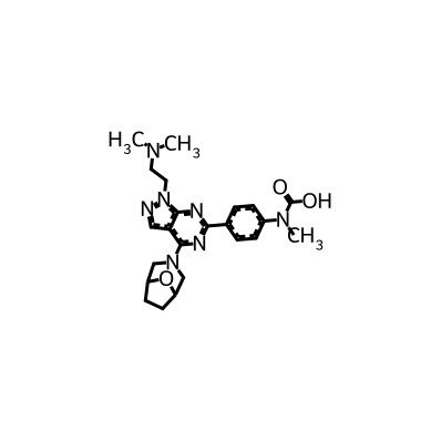 CN(C)CCn1ncc2c(N3CC4CCC(C3)O4)nc(-c3ccc(N(C)C(=O)O)cc3)nc21